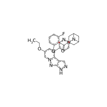 CCOc1cc(-c2ccc(N3C4CC3CN(C(=O)c3c(F)cccc3Cl)C4)nc2)c2c3cn[nH]c3nn2c1